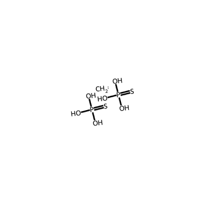 OP(O)(O)=S.OP(O)(O)=S.[CH2]